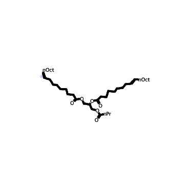 CCCCCCCCC=CCCCCCCCC(=O)OC(COC(=O)CCC)COC(=O)CCCCCCC/C=C\CCCCCCCC